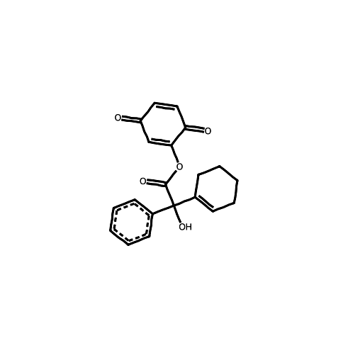 O=C1C=CC(=O)C(OC(=O)C(O)(C2=CCCCC2)c2ccccc2)=C1